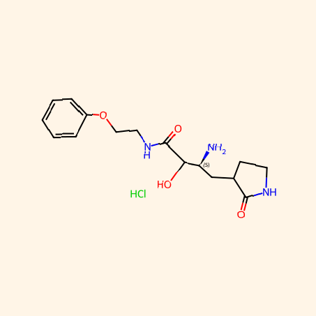 Cl.N[C@@H](CC1CCNC1=O)C(O)C(=O)NCCOc1ccccc1